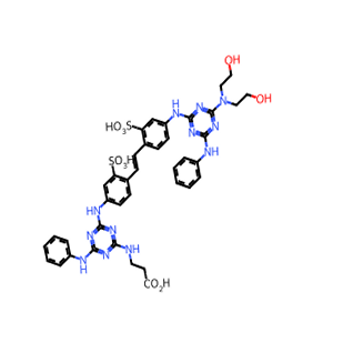 O=C(O)CCNc1nc(Nc2ccccc2)nc(Nc2ccc(/C=C/c3ccc(Nc4nc(Nc5ccccc5)nc(N(CCO)CCO)n4)cc3S(=O)(=O)O)c(S(=O)(=O)O)c2)n1